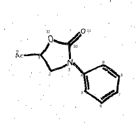 CC(=O)C1CN(c2ccccc2)C(=O)O1